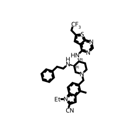 CCn1c(C#N)cc2c(C)c(CN3CC[C@@H](Nc4ncnc5sc(CC(F)(F)F)cc45)[C@H](NCCc4ccccc4)C3)ccc21